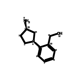 N[C@@H]1CCN(c2ccccc2CO)C1